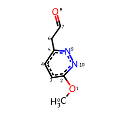 COc1ccc(CC=O)nn1